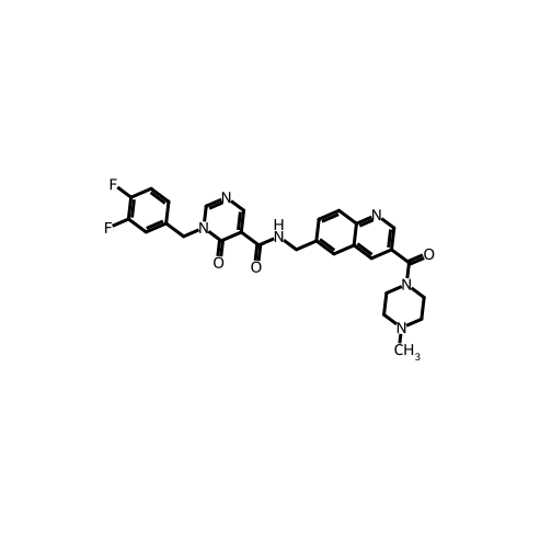 CN1CCN(C(=O)c2cnc3ccc(CNC(=O)c4cncn(Cc5ccc(F)c(F)c5)c4=O)cc3c2)CC1